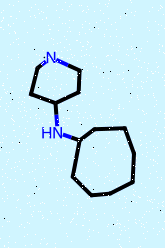 C1CCCC(NC2CC[N]CC2)CCC1